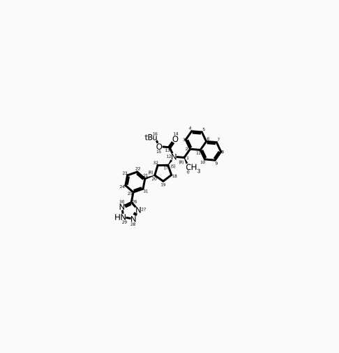 C[C@H](c1cccc2ccccc12)N(C(=O)OC(C)(C)C)[C@H]1CC[C@@H](c2cccc(-c3nn[nH]n3)c2)C1